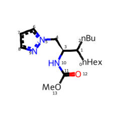 CCCCCCC(CCCC)[C@H](Cn1cccn1)NC(=O)OC